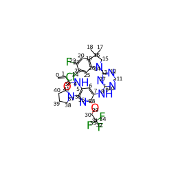 C=CC(=O)Nc1cc(Nc2ncnc(N3CC(C)(C)c4cc(F)c(Cl)cc43)n2)c(OCC(F)(F)F)nc1N1CCCC1